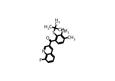 Cc1ccc(C(=O)c2cnc3c(F)cccc3c2)c(SC(C)(C)C)c1C